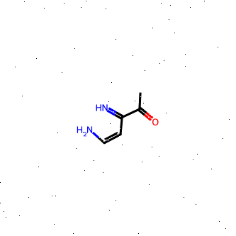 CC(=O)C(=N)/C=C\N